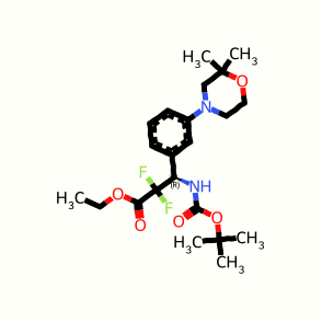 CCOC(=O)C(F)(F)[C@H](NC(=O)OC(C)(C)C)c1cccc(N2CCOC(C)(C)C2)c1